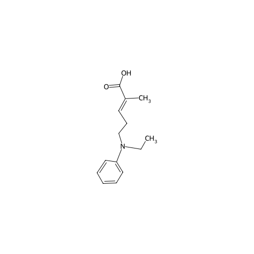 CCN(CC/C=C(\C)C(=O)O)c1ccccc1